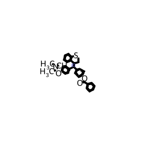 CC(Oc1ccc(/C(=C2/CCSc3ccccc32)c2ccc(OC(=O)c3ccccc3)cc2)cc1)N(C)C